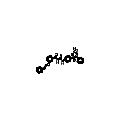 CCN(c1ccccc1)S(=O)(=O)c1ccc(NC(=S)NC(=O)c2cccc(OCCc3ccccc3)c2)cc1